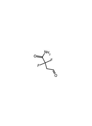 NC(=O)C(F)(F)CC=O